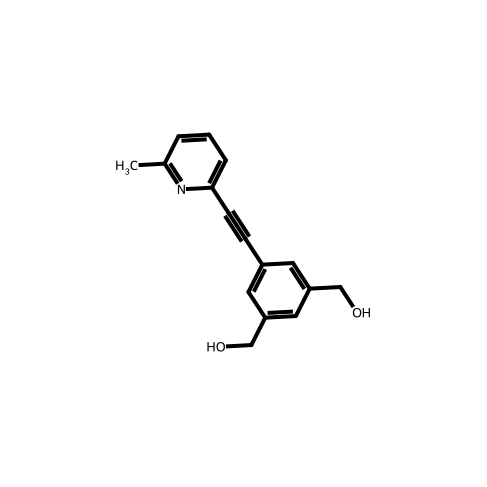 Cc1cccc(C#Cc2cc(CO)cc(CO)c2)n1